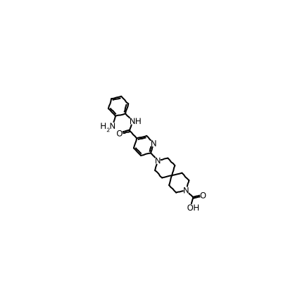 Nc1ccccc1NC(=O)c1ccc(N2CCC3(CCN(C(=O)O)CC3)CC2)nc1